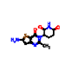 Cc1nc2cc(N)sc2c(=O)n1C1CCC(=O)NC1=O